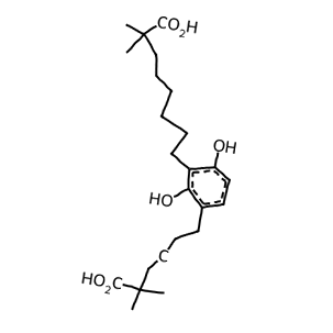 CC(C)(CCCCCCc1c(O)ccc(CCCCC(C)(C)C(=O)O)c1O)C(=O)O